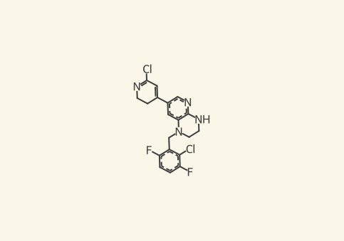 Fc1ccc(F)c(CN2CCNc3ncc(C4=CC(Cl)=NCC4)cc32)c1Cl